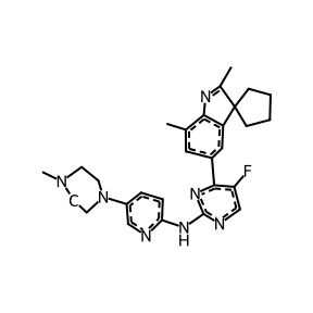 CC1=Nc2c(C)cc(-c3nc(Nc4ccc(N5CCN(C)CC5)cn4)ncc3F)cc2C12CCCC2